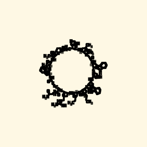 CCCCC[C@H]1C(=O)N(C)[C@@H](CCCC)C(=O)N[C@@H](CCCNC(=N)N)C(=O)N[C@H](C(=O)NCC(N)=O)CSCC(=O)N[C@@H](Cc2ccccc2)C(=O)N(C)[C@@H](C)C(=O)N[C@@H]([C@@H](C)O)C(=O)N2CCC[C@H]2C(=O)NCC(c2cnc[nH]2)C(=O)N[C@@H](CC(C)C)C(=O)N(C)CC(=O)N[C@@H](Cc2c[nH]c3ccccc23)C(=O)N[C@@H](CO)C(=O)N[C@@H](Cc2c[nH]c3ccccc23)C(=O)N1C